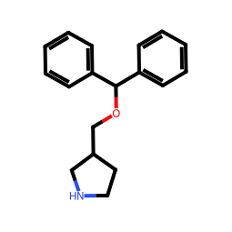 c1ccc(C(OCC2CCNC2)c2ccccc2)cc1